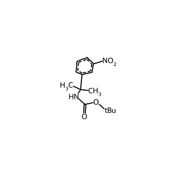 CC(C)(C)OC(=O)NC(C)(C)c1cccc([N+](=O)[O-])c1